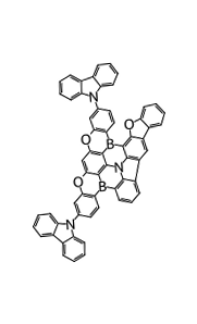 c1ccc2c(c1)oc1c3c4c(cc12)c1cccc2c1n4-c1c4c(cc5c1B3c1ccc(-n3c6ccccc6c6ccccc63)cc1O5)Oc1cc(-n3c5ccccc5c5ccccc53)ccc1B42